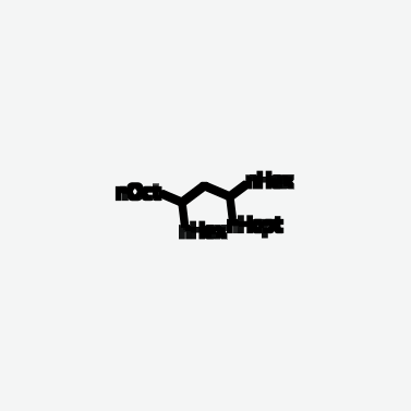 CCCCCCCCC(CCCCCC)CC(CCCCCC)CCCCCCC